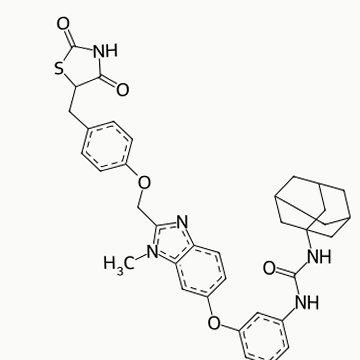 Cn1c(COc2ccc(CC3SC(=O)NC3=O)cc2)nc2ccc(Oc3cccc(NC(=O)NC45CC6CC(CC(C6)C4)C5)c3)cc21